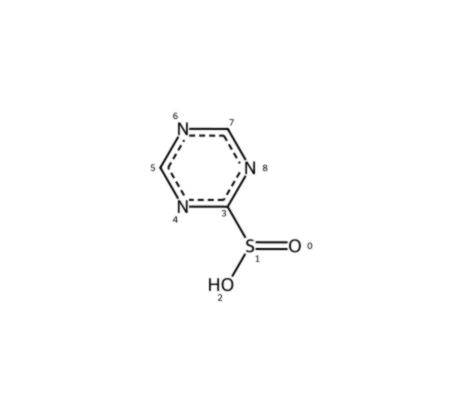 O=S(O)c1ncncn1